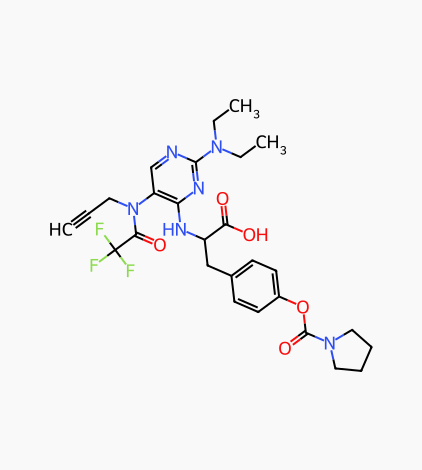 C#CCN(C(=O)C(F)(F)F)c1cnc(N(CC)CC)nc1NC(Cc1ccc(OC(=O)N2CCCC2)cc1)C(=O)O